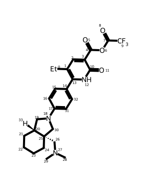 CCc1cc(C(=O)OC(=O)C(F)(F)F)c(=O)[nH]c1-c1ccc(N2C[C@H]3CCCC[C@]3(CN(C)C)C2)cc1